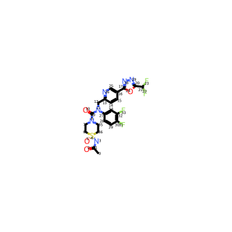 CC(=O)N=S1(=O)CCN(C(=O)N(Cc2ccc(-c3nnc(C(F)F)o3)cn2)c2ccc(F)c(F)c2)CC1